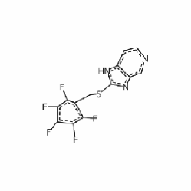 Fc1c(F)c(F)c(CSc2nc3cnccc3[nH]2)c(F)c1F